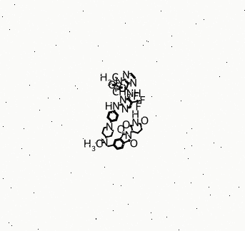 CN(Cc1ccc2c(c1)C(=O)N(C1CCC(=O)NC1=O)C2=O)C1CCN(c2ccc(Nc3ncc(C(F)(F)F)c(NCc4nccnc4N(C)S(C)(=O)=O)n3)cc2)CC1